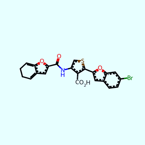 O=C(Nc1csc(-c2cc3ccc(Br)cc3o2)c1C(=O)O)c1cc2c(o1)=CCCC=2